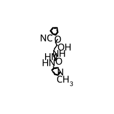 Cc1ccc(NC(=O)NNCC(O)COc2ccccc2C#N)cn1